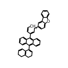 C/C=C\C(=C/Cc1ccc2oc3ccccc3c2c1)c1c2ccccc2c(C2=CCCC3=C2C=CCC3)c2ccccc12